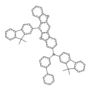 CC1(C)c2ccccc2-c2ccc(-c3c4oc5cc(N(c6cccc(-c7ccccc7)c6)c6ccc7c(c6)C(C)(C)c6ccccc6-7)ccc5c4cc4oc5ccccc5c34)cc21